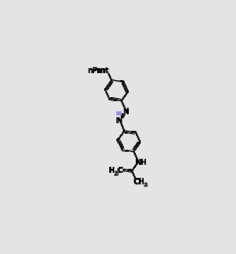 C=C(C)Nc1ccc(/N=N/c2ccc(CCCCC)cc2)cc1